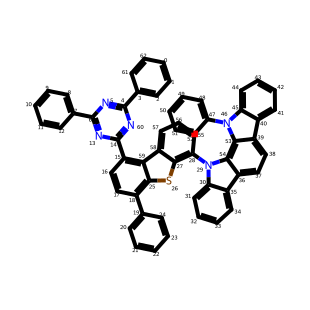 c1ccc(-c2nc(-c3ccccc3)nc(-c3ccc(-c4ccccc4)c4sc5c(-n6c7ccccc7c7ccc8c9ccccc9n(-c9ccccc9)c8c76)cccc5c34)n2)cc1